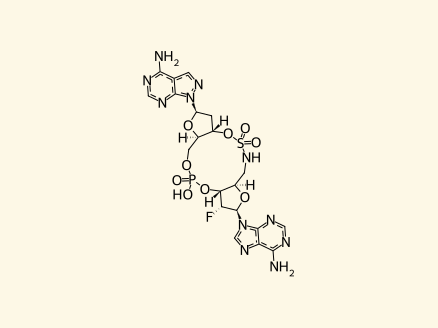 Nc1ncnc2c1cnn2[C@H]1C[C@@H]2OS(=O)(=O)NC[C@H]3O[C@@H](n4cnc5c(N)ncnc54)[C@H](F)[C@@H]3OP(=O)(O)OC[C@H]2O1